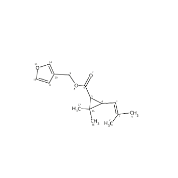 CC(C)=CC1C(C(=O)OCc2ccoc2)C1(C)C